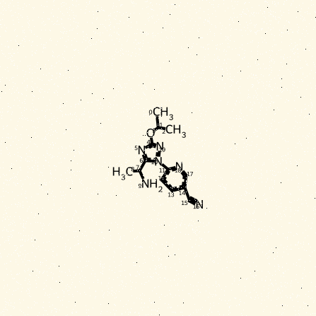 CC(C)Oc1nc(C(C)N)n(-c2ccc(C#N)cn2)n1